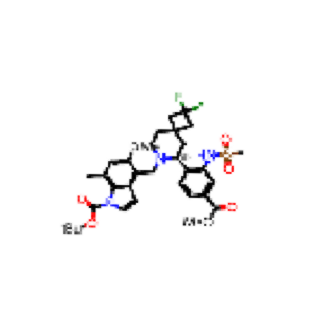 COC(=O)c1ccc([C@@H]2CC3(CCN2Cc2c(OC)cc(C)c4c2ccn4C(=O)OC(C)(C)C)CC(F)(F)C3)c(NS(C)(=O)=O)c1